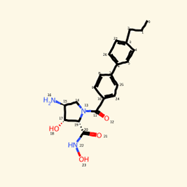 CCCc1ccc(-c2ccc(C(=O)N3C[C@H](N)[C@@H](O)[C@H]3C(=O)NO)cc2)cc1